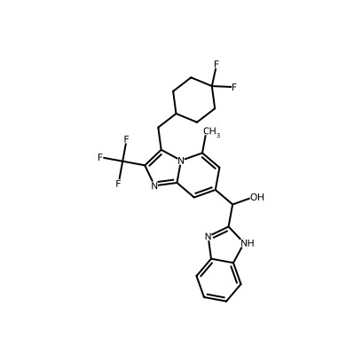 Cc1cc(C(O)c2nc3ccccc3[nH]2)cc2nc(C(F)(F)F)c(CC3CCC(F)(F)CC3)n12